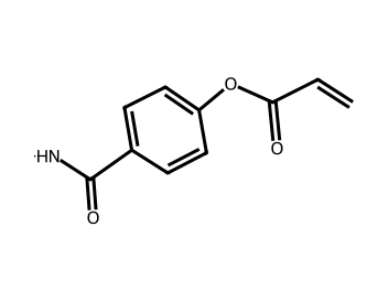 C=CC(=O)Oc1ccc(C([NH])=O)cc1